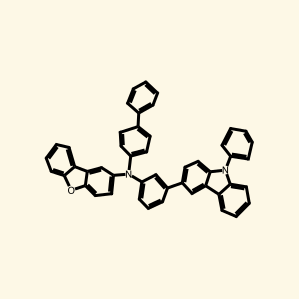 c1ccc(-c2ccc(N(c3cccc(-c4ccc5c(c4)c4ccccc4n5-c4ccccc4)c3)c3ccc4oc5ccccc5c4c3)cc2)cc1